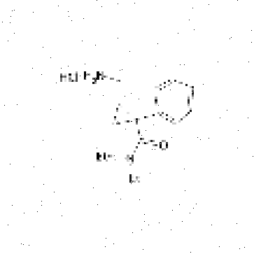 CCN(CC)C(=O)C1(c2ccccc2)C[C@@H]1CN.Cl